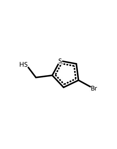 SCc1cc(Br)cs1